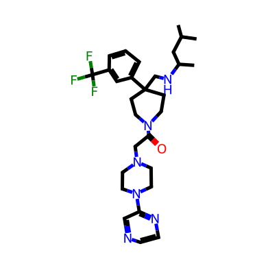 CC(C)CC(C)NCC1(c2cccc(C(F)(F)F)c2)CCN(C(=O)CN2CCN(c3cnccn3)CC2)CC1